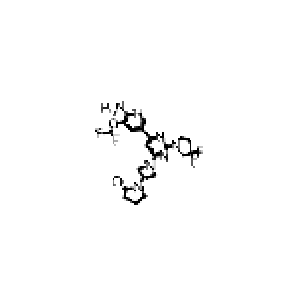 Nc1ncc(-c2cc(N3CC(N4CCCC4=O)C3)nc(N3CCC(F)(F)C3)n2)cc1OC(F)F